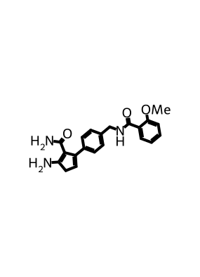 COc1ccccc1C(=O)NCc1ccc(C2=CCC(N)=C2C(N)=O)cc1